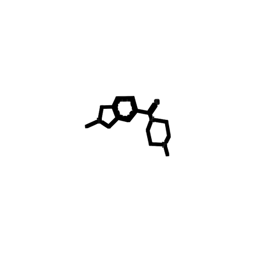 CN1CCN(C(=O)c2ccc3c(c2)CN(C)C3)CC1